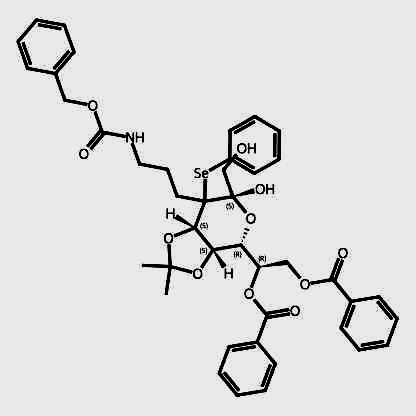 CC1(C)O[C@H]2[C@@H]([C@@H](COC(=O)c3ccccc3)OC(=O)c3ccccc3)O[C@@](O)(CO)C(CCCNC(=O)OCc3ccccc3)([Se]c3ccccc3)[C@H]2O1